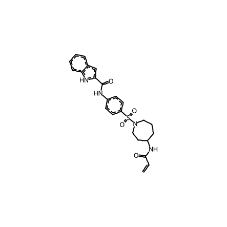 C=CC(=O)NC1CCCN(S(=O)(=O)c2ccc(NC(=O)c3cc4ccccc4[nH]3)cc2)CC1